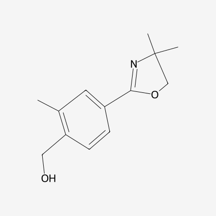 Cc1cc(C2=NC(C)(C)CO2)ccc1CO